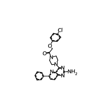 Nc1nc(N2CCN(C(=O)COc3ccc(Cl)cc3)CC2)c2nc(-c3ccccc3)ccc2n1